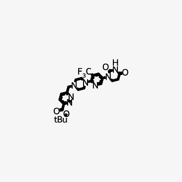 CC(C)(C)OC(=O)c1ccc(CN2CCN(c3ncc(N4CCC(=O)NC4=O)cc3C(F)(F)F)CC2)nn1